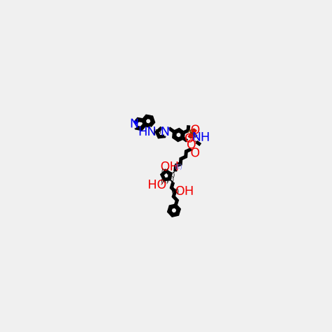 Cc1ccc(CN2CC[C@@H](Nc3cccc4cnccc34)C2)cc1C(C)S(=O)(=O)NC(C)OC(=O)CCC/C=C/C[C@@H]1[C@@H](CC[C@@H](O)CCc2ccccc2)[C@H](O)C[C@@H]1O